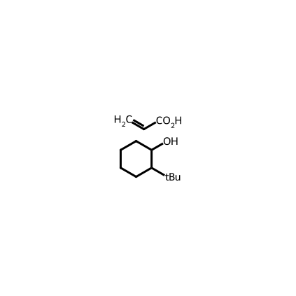 C=CC(=O)O.CC(C)(C)C1CCCCC1O